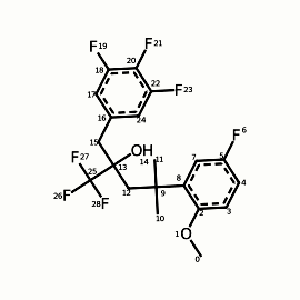 COc1ccc(F)cc1C(C)(C)CC(O)(Cc1cc(F)c(F)c(F)c1)C(F)(F)F